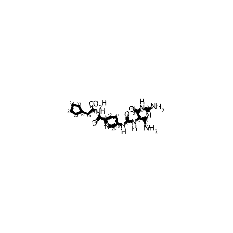 Nc1nc(N)c(NC(=O)Nc2ccc(C(=O)N[C@@H](CC3CCCC3)C(=O)O)nc2)c(=O)[nH]1